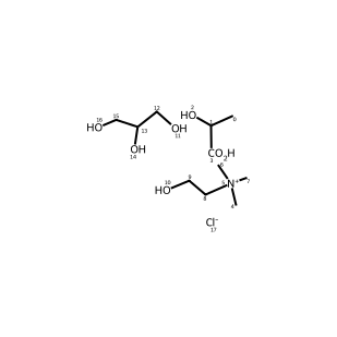 CC(O)C(=O)O.C[N+](C)(C)CCO.OCC(O)CO.[Cl-]